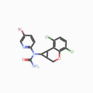 NC(=O)N(c1ccc(Br)cn1)C1C2COc3c(Cl)ccc(Cl)c3C21